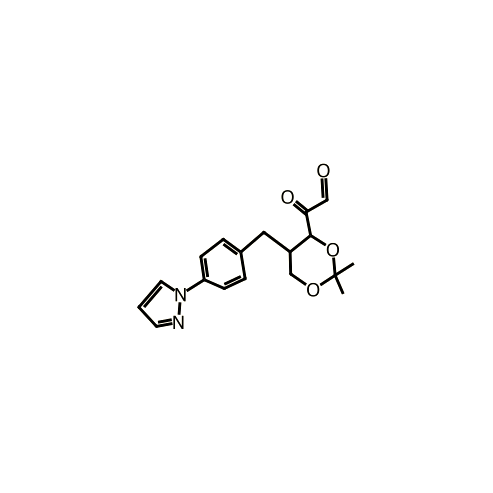 CC1(C)OCC(Cc2ccc(-n3cccn3)cc2)C(C(=O)C=O)O1